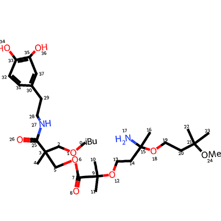 CCC(C)OCC(C)(COC(=O)C(C)(C)OCCC(C)(N)OCCC(C)(C)OC)C(=O)NCCc1ccc(O)c(O)c1